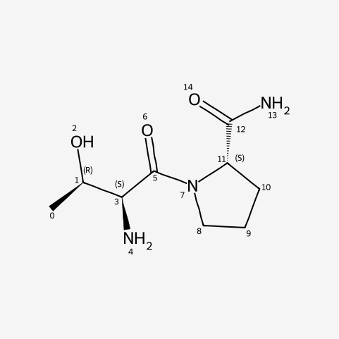 C[C@@H](O)[C@H](N)C(=O)N1CCC[C@H]1C(N)=O